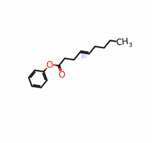 CCCC/C=C/CCC(=O)Oc1ccccc1